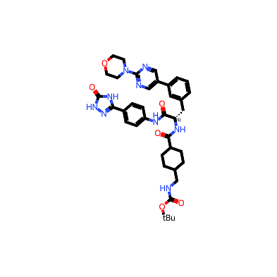 CC(C)(C)OC(=O)NCC1CCC(C(=O)N[C@@H](Cc2cccc(-c3cnc(N4CCOCC4)nc3)c2)C(=O)Nc2ccc(-c3n[nH]c(=O)[nH]3)cc2)CC1